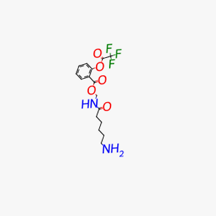 NCCCCCC(=O)NCOC(=O)c1ccccc1OC(=O)C(F)(F)F